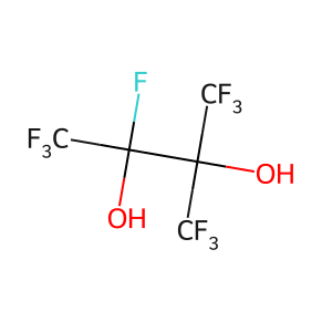 OC(F)(C(F)(F)F)C(O)(C(F)(F)F)C(F)(F)F